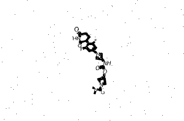 CN(C)C(=O)N1CC(OC(=O)NC2CN(c3cc(F)c(C4CCC(=O)NC4=O)c(F)c3)C2)C1